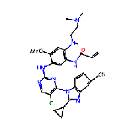 C=CC(=O)Nc1cc(Nc2ncc(Cl)c(-n3c(C4CC4)nc4cc(C#N)ccc43)n2)c(OC)cc1N(C)CCN(C)C